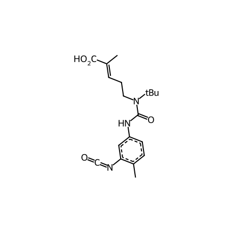 CC(=CCCN(C(=O)Nc1ccc(C)c(N=C=O)c1)C(C)(C)C)C(=O)O